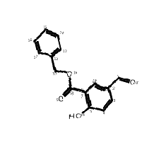 O=Cc1ccc(O)c(C(=O)OCc2ccccc2)c1